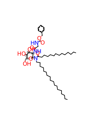 CCCCCCCCCCCCCCCCCCN(C(=O)CCCCCCCCCCCCC)[C@@H]1O[C@H](CO)[C@@H](O)[C@H](O)[C@H]1NC(=O)CNC(=O)OCc1ccccc1